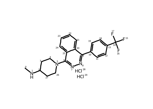 CNC1CCN(c2nnc(-c3ccc(C(F)(F)F)cc3)c3ccccc23)CC1.Cl.Cl